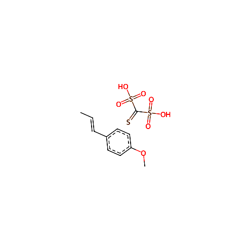 CC=Cc1ccc(OC)cc1.O=S(=O)(O)C(=S)S(=O)(=O)O